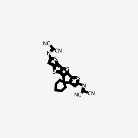 N#CC(C#N)=Nc1cc2c(s1)-c1sc3c(sc4cc(N=C(C#N)C#N)sc43)c1C21CCCCC1